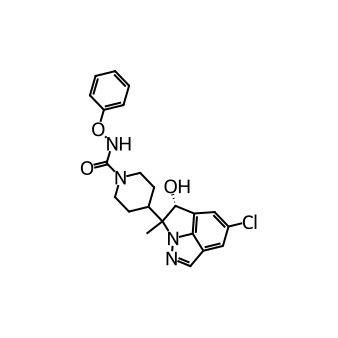 CC1(C2CCN(C(=O)NOc3ccccc3)CC2)[C@H](O)c2cc(Cl)cc3cnn1c23